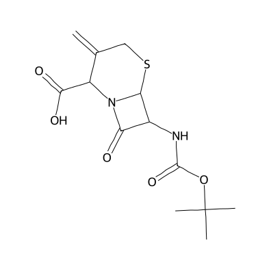 C=C1CSC2C(NC(=O)OC(C)(C)C)C(=O)N2C1C(=O)O